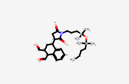 CCCC[Si](C)(C)O[Si](C)(C)CCCN1C(=O)CC(C2CC(C=O)C(C=O)c3ccccc32)C1=O